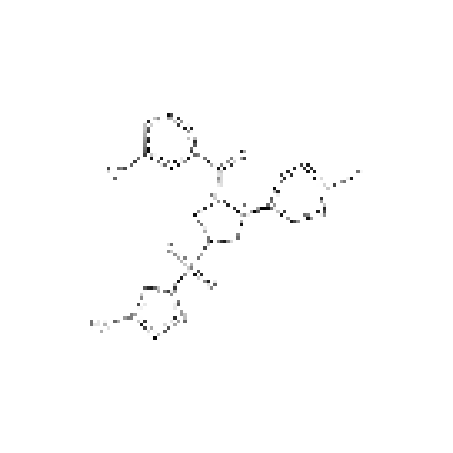 Cn1cnc(S(=O)(=O)N2C[C@H](C(=O)c3cccc(C(F)(F)F)c3)[C@@H](c3ccc(F)cc3)C2)c1